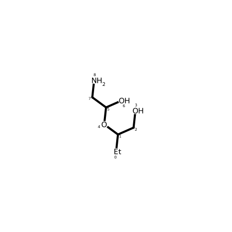 CCC(CO)OC(O)CN